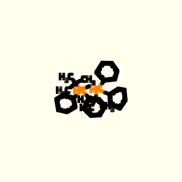 CC(C)(C)[PH](C[PH](c1ccccc1)(c1ccccc1)C(C)(C)C)(c1ccccc1)c1ccccc1